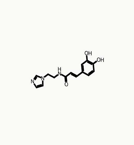 O=C(C=Cc1ccc(O)c(O)c1)NCCn1ccnc1